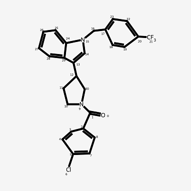 O=C(c1ccc(Cl)cc1)N1CCC(c2cn(Cc3ccc(C(F)(F)F)cc3)c3ccccc23)C1